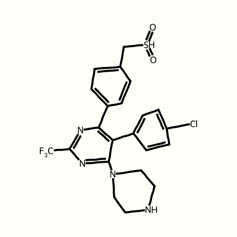 O=[SH](=O)Cc1ccc(-c2nc(C(F)(F)F)nc(N3CCNCC3)c2-c2ccc(Cl)cc2)cc1